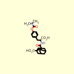 CN(C)C(=O)Oc1ccc(C[C@H](NC(=O)C23CC4CC(CC(C(=O)O)(C4)C2)C3)C(=O)O)cc1